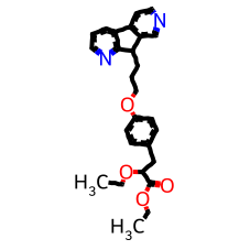 CCOC(=O)C(Cc1ccc(OCCCC2c3cnccc3-c3cccnc32)cc1)OCC